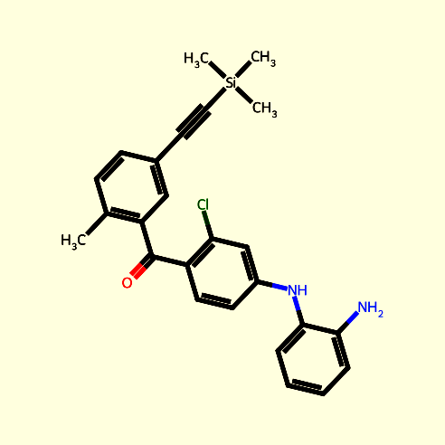 Cc1ccc(C#C[Si](C)(C)C)cc1C(=O)c1ccc(Nc2ccccc2N)cc1Cl